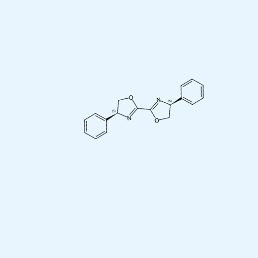 c1ccc([C@H]2COC(C3=N[C@@H](c4ccccc4)CO3)=N2)cc1